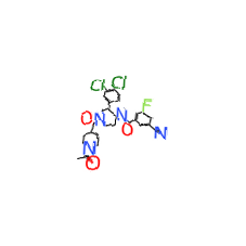 CC(=O)N1CCC(C(=O)N2CC[C@@H](N(C)C(=O)c3cc(F)cc(C#N)c3)[C@H](c3ccc(Cl)c(Cl)c3)C2)CC1